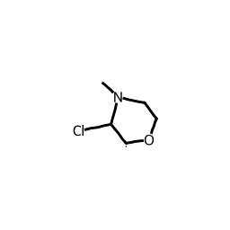 CN1CCO[CH]C1Cl